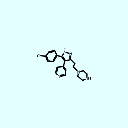 Clc1ccc(-c2[nH]nc(CCN3CCNCC3)c2-c2ccncc2)cc1